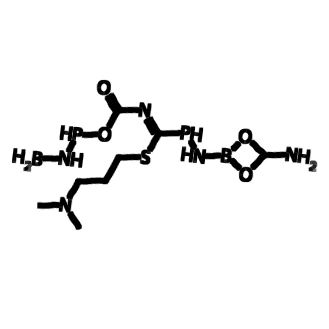 BNPOC(=O)/N=C(/PNB1OC(N)O1)SCCCN(C)C